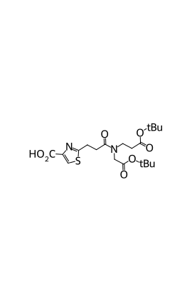 CC(C)(C)OC(=O)CCN(CC(=O)OC(C)(C)C)C(=O)CCc1nc(C(=O)O)cs1